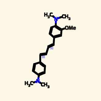 COc1cc(/C=C/C=C/c2ccc(N(C)C)cc2)ccc1N(C)C